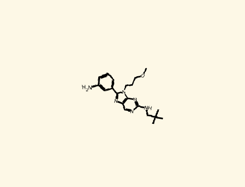 COCCCn1c(-c2cccc(N)c2)nc2cnc(NCC(C)(C)C)nc21